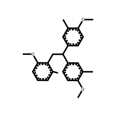 COc1ccc(C(Cc2c(C)c[c]cc2OC)c2ccc(OC)c(C)c2)cc1C